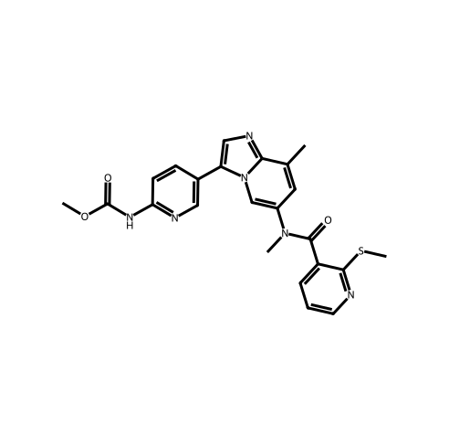 COC(=O)Nc1ccc(-c2cnc3c(C)cc(N(C)C(=O)c4cccnc4SC)cn23)cn1